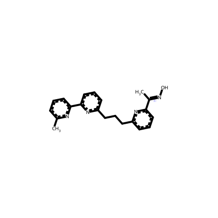 C/C(=N\O)c1cccc(CCCc2cccc(-c3cccc(C)n3)n2)n1